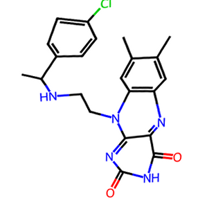 Cc1cc2nc3c(=O)[nH]c(=O)nc-3n(CCNC(C)c3ccc(Cl)cc3)c2cc1C